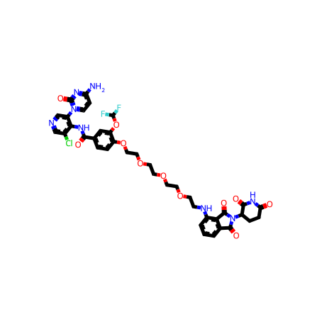 Nc1ccn(-c2cncc(Cl)c2NC(=O)c2ccc(OCCOCCOCCOCCNc3cccc4c3C(=O)N(C3CCC(=O)NC3=O)C4=O)c(OC(F)F)c2)c(=O)n1